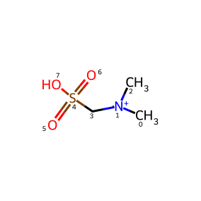 C[N+](C)CS(=O)(=O)O